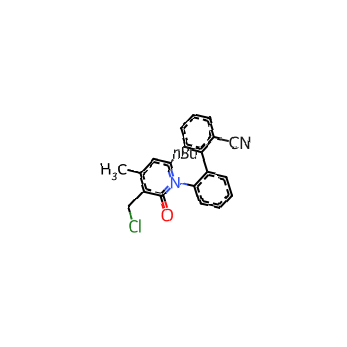 CCCCc1cc(C)c(CCl)c(=O)n1-c1ccccc1-c1ccccc1C#N